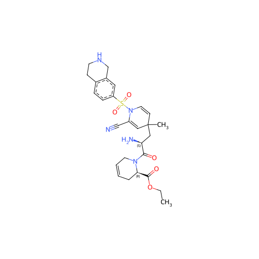 CCOC(=O)[C@H]1CC=CCN1C(=O)[C@@H](N)CC1(C)C=CN(S(=O)(=O)c2ccc3c(c2)CNCC3)C(C#N)=C1